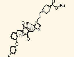 CC(C)c1c(/C=c2\[nH]c(=O)/c(=C/c3cccc(Oc4ccc(F)cc4)c3)[nH]c2=O)ncn1CCCN1CCN(C(=O)OC(C)(C)C)CC1